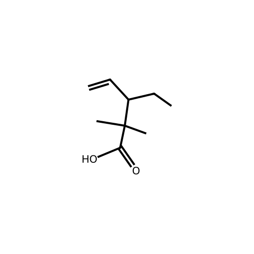 C=CC(CC)C(C)(C)C(=O)O